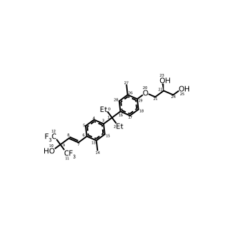 CCC(CC)(c1ccc(C=CC(O)(C(F)(F)F)C(F)(F)F)c(C)c1)c1ccc(OC[C@@H](O)CO)c(C)c1